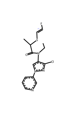 CCN(C(=O)C(C)S/C=C/F)c1cn(-c2cccnc2)nc1Cl